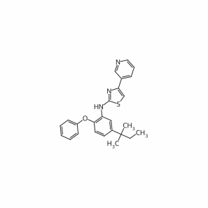 CCC(C)(C)c1ccc(Oc2ccccc2)c(Nc2nc(-c3cccnc3)cs2)c1